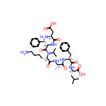 CC(C)C[C@H](NC(=O)[C@H](Cc1ccccc1)NC(=O)[C@H](C)NC(=O)[C@H](CCCCN)N(C(=O)[C@H](Cc1ccccc1)NC(=O)[C@@H](N)CC(=O)O)C(C)C)C(=O)O